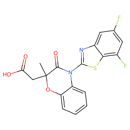 CC1(CC(=O)O)Oc2ccccc2N(c2nc3cc(F)cc(F)c3s2)C1=O